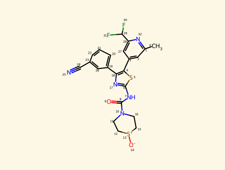 Cc1cc(-c2sc(NC(=O)N3CC[S+]([O-])CC3)nc2-c2cccc(C#N)c2)cc(C(F)F)n1